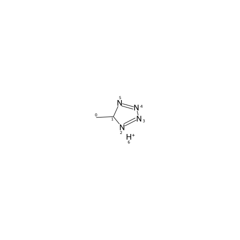 CC1N=NN=N1.[H+]